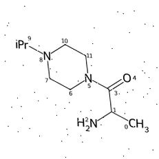 CC(N)C(=O)N1CCN(C(C)C)CC1